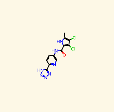 Cc1[nH]c(C(=O)Nc2ccc(-c3nnn[nH]3)nc2)c(Cl)c1Cl